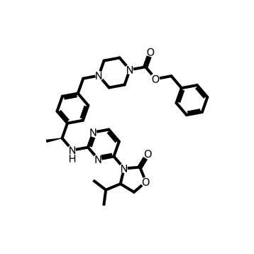 CC(C)C1COC(=O)N1c1ccnc(N[C@@H](C)c2ccc(CN3CCN(C(=O)OCc4ccccc4)CC3)cc2)n1